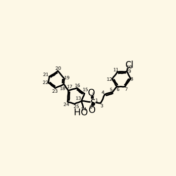 O=S(=O)(CC=Cc1ccc(Cl)cc1)C1(O)C=CC(c2ccccc2)=CC1